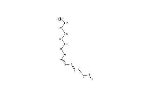 CCCC/C=C/C=C\CCCCCCCCl